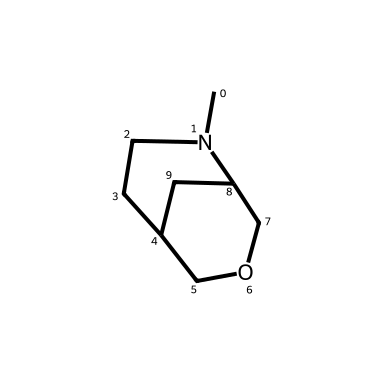 CN1CCC2COCC1C2